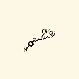 C[S+]([O-])CCCN(CCO)CCCOc1ccc(C#N)cc1